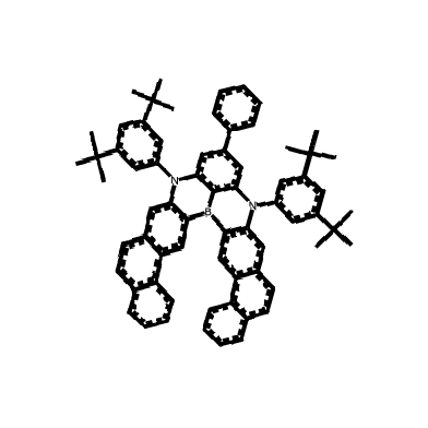 CC(C)(C)c1cc(N2c3cc4ccc5ccccc5c4cc3B3c4cc5c(ccc6ccccc65)cc4N(c4cc(C(C)(C)C)cc(C(C)(C)C)c4)c4cc(-c5ccccc5)cc2c43)cc(C(C)(C)C)c1